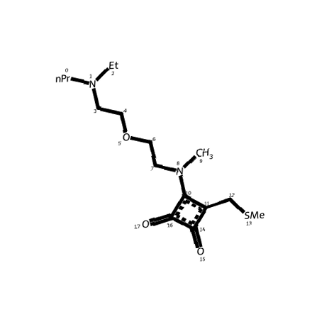 CCCN(CC)CCOCCN(C)c1c(CSC)c(=O)c1=O